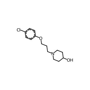 OC1CCN(CCCOc2ccc(Cl)cc2)CC1